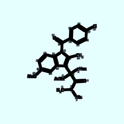 CCCCCCC(NC(C)=O)(C(=O)N(C)CCCC)c1c(C)n(C(=O)c2ccc(Cl)cc2)c2ccc(OC)cc12